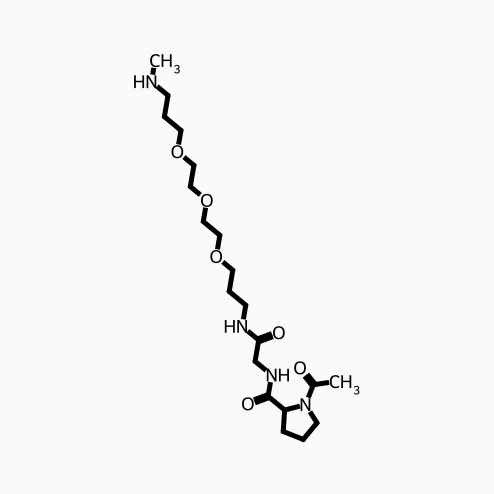 CNCCCOCCOCCOCCCNC(=O)CNC(=O)C1CCCN1C(C)=O